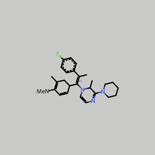 CNC1=C(C)CC(/C(=C(/C)c2ccc(F)cc2)N2C=CN=C(N3CCCCC3)C2C)C=C1